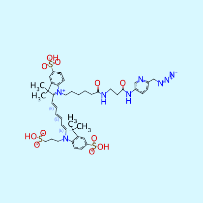 CC1(C)C(/C=C/C=C/C=C2/N(CCCS(=O)(=O)O)c3ccc(S(=O)(=O)O)cc3C2(C)C)=[N+](CCCCCC(=O)NCCC(=O)Nc2ccc(CN=[N+]=[N-])nc2)c2ccc(S(=O)(=O)O)cc21